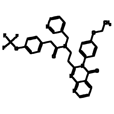 CCOc1ccc(-n2c(CCN(Cc3cccnc3)C(=O)Cc3ccc(OC(F)(F)F)cc3)nc3ncccc3c2=O)cc1